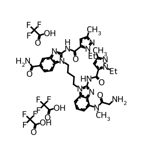 CCn1nc(C)cc1C(=O)Nc1nc2cc(C(N)=O)ccc2n1CCCCn1c(NC(=O)c2cc(C)nn2CC)nc2c(N(C)C(=O)CN)cccc21.O=C(O)C(F)(F)F.O=C(O)C(F)(F)F.O=C(O)C(F)(F)F